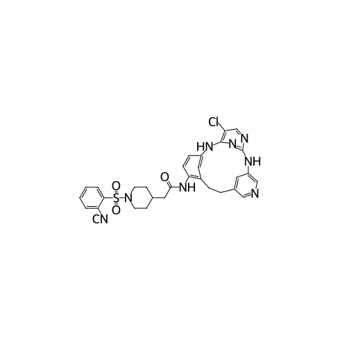 N#Cc1ccccc1S(=O)(=O)N1CCC(CC(=O)Nc2ccc3cc2CCc2cncc(c2)Nc2ncc(Cl)c(n2)N3)CC1